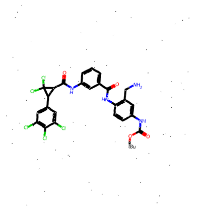 CC(C)(C)OC(=O)Nc1ccc(NC(=O)c2cccc(NC(=O)C3C(c4cc(Cl)c(Cl)c(Cl)c4)C3(Cl)Cl)c2)c(CN)c1